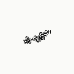 O=C(OCCCN1C(=O)c2ccccc2C1=O)c1cccc2nc(C3C(=O)c4ccc(O)cc4C3=O)ccc12